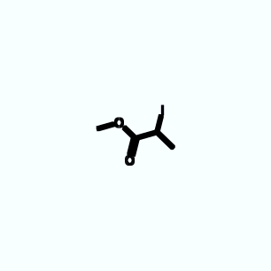 COC(=O)C(C)I